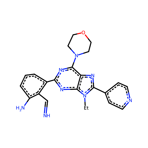 CCn1c(-c2ccncc2)nc2c(N3CCOCC3)nc(-c3cccc(N)c3C=N)nc21